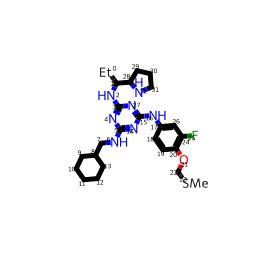 CCC(Nc1nc(NCC2CCCCC2)nc(Nc2ccc(OCSC)c(F)c2)n1)C1CCCN1